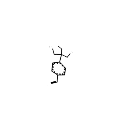 C=Cc1ccc(C(CN)(CC(C)C)CC(C)C)cc1